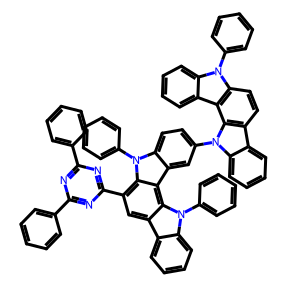 c1ccc(-c2nc(-c3ccccc3)nc(-c3cc4c5ccccc5n(-c5ccccc5)c4c4c5cc(-n6c7ccccc7c7ccc8c(c9ccccc9n8-c8ccccc8)c76)ccc5n(-c5ccccc5)c34)n2)cc1